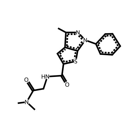 Cc1nn(-c2ccccc2)c2sc(C(=O)NCC(=O)N(C)C)cc12